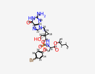 CCC[C@H](C)OC(=O)C(C)N[P@](=O)(OC[C@]1(CO)C/C1=C/n1cnc2c(=O)[nH]c(N)nc21)Oc1ccc(Br)cc1